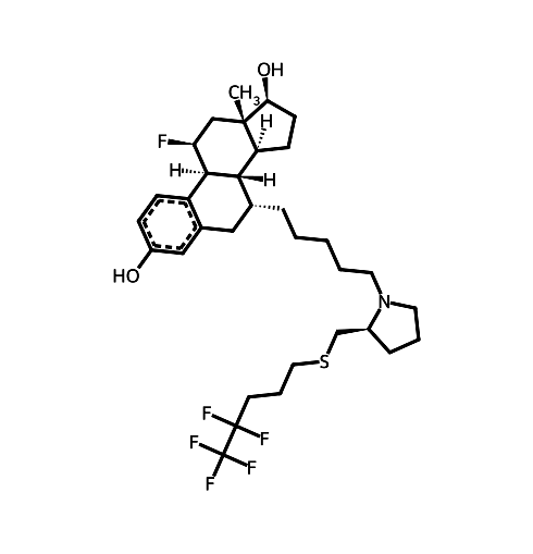 C[C@]12C[C@H](F)[C@@H]3c4ccc(O)cc4C[C@@H](CCCCCN4CCC[C@H]4CSCCCC(F)(F)C(F)(F)F)[C@H]3[C@@H]1CC[C@@H]2O